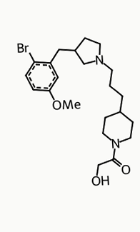 COc1ccc(Br)c(CC2CCN(CCCC3CCN(C(=O)CO)CC3)C2)c1